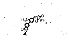 Cc1cc(CN2CC(=O)N(C)C2=O)ccc1-c1ccc2c(c1)CN(C1CC1)C2=O